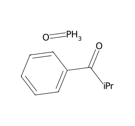 CC(C)C(=O)c1ccccc1.O=[PH3]